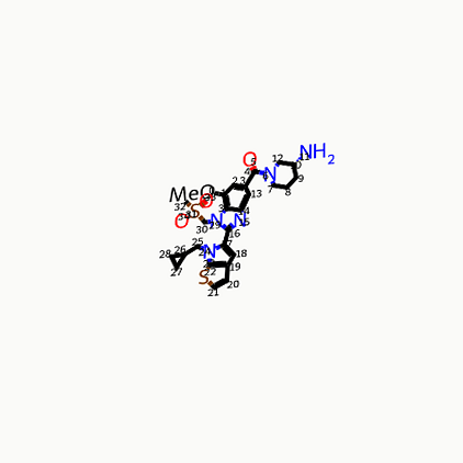 COc1cc(C(=O)N2CCC[C@@H](N)C2)cc2nc(-c3cc4ccsc4n3CC3CC3)n(CS(C)(=O)=O)c12